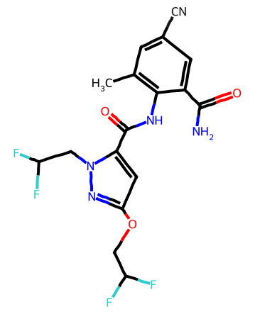 Cc1cc(C#N)cc(C(N)=O)c1NC(=O)c1cc(OCC(F)F)nn1CC(F)F